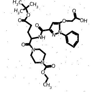 CCOC(=O)N1CCN(C(=O)C(CCC(=O)OC(C)(C)C)NC(=O)c2cc(OCC(=O)O)n(-c3ccccc3)n2)CC1